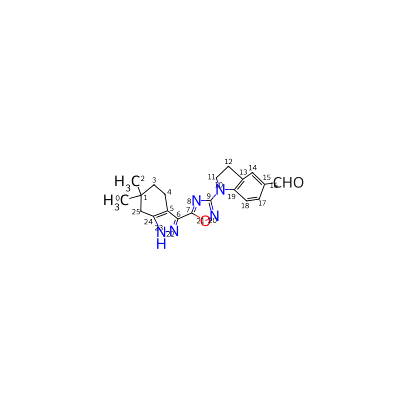 CC1(C)CCc2c(-c3nc(N4CCc5cc(C=O)ccc54)no3)n[nH]c2C1